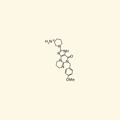 COc1ccc(CN2C(=O)c3[nH]c(N4CCC[C@@H](N)C4)nc3N3CCCN=C23)cc1